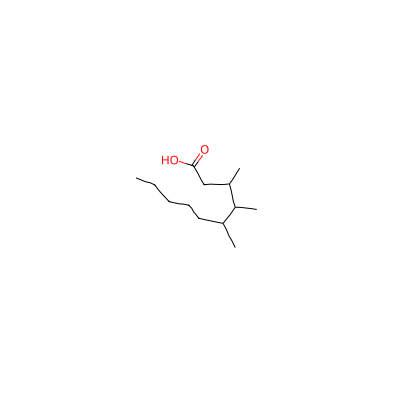 CCCCCC(C)C(C)C(C)CC(=O)O